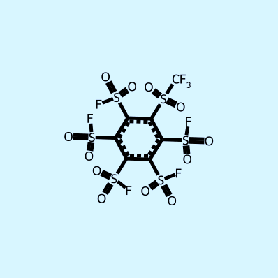 O=S(=O)(F)c1c(S(=O)(=O)F)c(S(=O)(=O)F)c(S(=O)(=O)C(F)(F)F)c(S(=O)(=O)F)c1S(=O)(=O)F